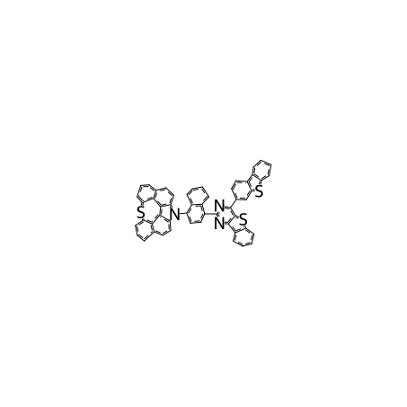 c1ccc2c(c1)sc1cc(-c3nc(-c4ccc(-n5c6ccc7cccc8sc9cccc%10ccc5c(c%109)c6c78)c5ccccc45)nc4c3sc3ccccc34)ccc12